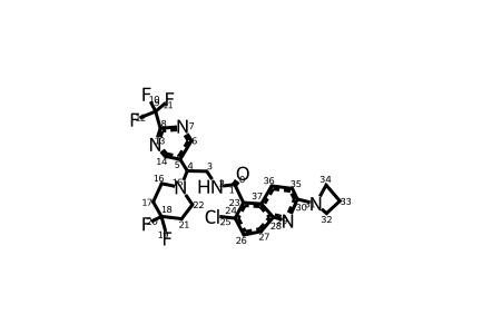 O=C(NCC(c1cnc(C(F)(F)F)nc1)N1CCC(F)(F)CC1)c1c(Cl)ccc2nc(N3CCC3)ccc12